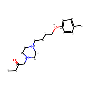 CCC(=O)CN1CCN(CCCCOc2ccc(C)cc2)CC1